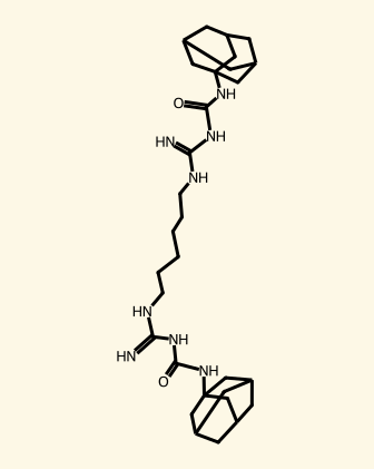 N=C(NCCCCCCNC(=N)NC(=O)NC12CC3CC(CC(C3)C1)C2)NC(=O)NC12CC3CC(CC(C3)C1)C2